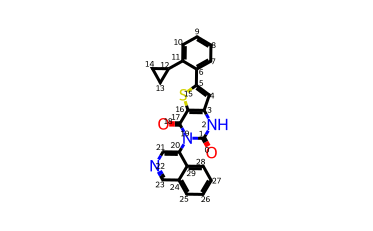 O=c1[nH]c2cc(-c3ccccc3C3CC3)sc2c(=O)n1-c1cncc2ccccc12